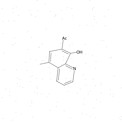 CC(=O)c1cc(C)c2cccnc2c1O